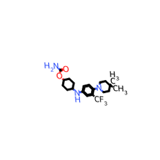 CC1(C)CCN(c2ccc(NC3CCC(OC(N)=O)CC3)cc2C(F)(F)F)CC1